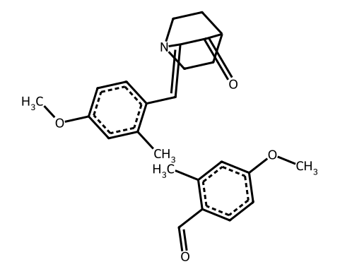 COc1ccc(C=C2C(=O)C3CCN2CC3)c(C)c1.COc1ccc(C=O)c(C)c1